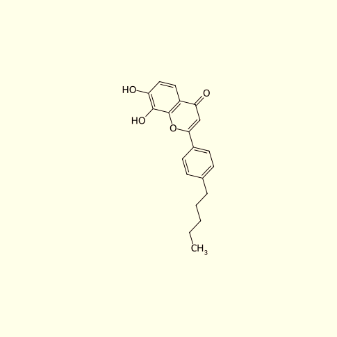 CCCCCc1ccc(-c2cc(=O)c3ccc(O)c(O)c3o2)cc1